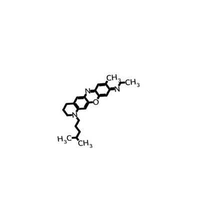 CC/N=c1/cc2oc3cc4c(cc3nc-2cc1C)CCCN4CCCC(C)C